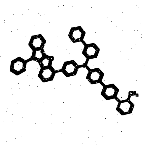 CC1C=CC=CC1c1ccc(-c2ccc(N(c3ccc(-c4cccc5c4oc4c6ccccc6n(-c6ccccc6)c54)cc3)c3cccc(-c4ccccc4)c3)cc2)cc1